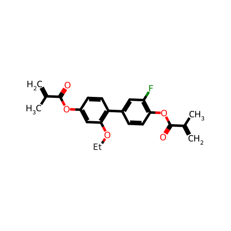 C=C(C)C(=O)Oc1ccc(-c2ccc(OC(=O)C(=C)C)c(F)c2)c(OCC)c1